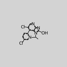 CC(C)n1c(O)nc2ncc(Cl)c(-c3ccc(Cl)cn3)c21